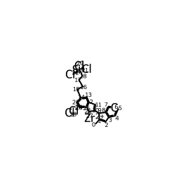 CC1=Cc2ccccc2C1C1=Cc2cc(CCCC[Si](Cl)(Cl)Cl)ccc2[CH]1[Zr+2].[Cl-].[Cl-]